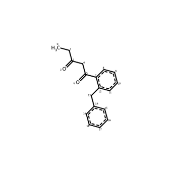 CCC(=O)CC(=O)c1ccccc1Cc1ccccc1